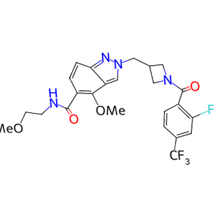 COCCNC(=O)c1ccc2nn(CC3CN(C(=O)c4ccc(C(F)(F)F)cc4F)C3)cc2c1OC